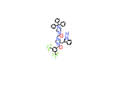 O=C(CN1CCN(C(=O)c2cc(C(F)(F)F)cc(C(F)(F)F)c2)C(Cc2c[nH]c3ccccc23)C1)N1CCN(C(c2ccccc2)(c2ccccc2)c2ccccc2)CC1